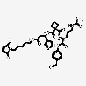 NC(=O)NCCC[C@H](NC(=O)C1(C(=O)NC(CC(=O)NCCCCCN2C(=O)C=CC2=O)c2ccsc2)CCC1)C(=O)Nc1ccc(CCl)cc1